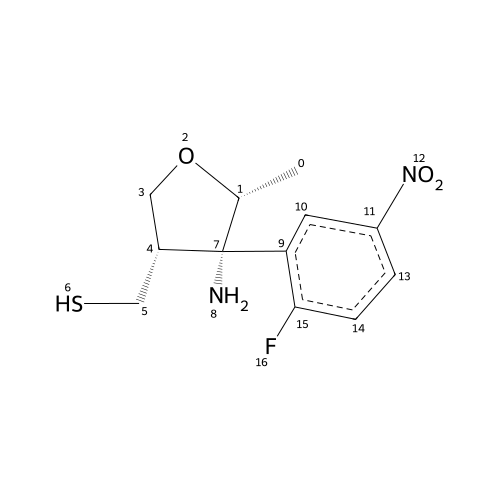 C[C@H]1OC[C@@H](CS)[C@]1(N)c1cc([N+](=O)[O-])ccc1F